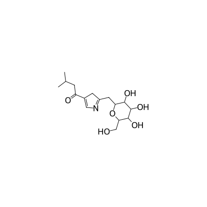 CC(C)CC(=O)C1=CN=C(CC2OC(CO)C(O)C(O)C2O)C1